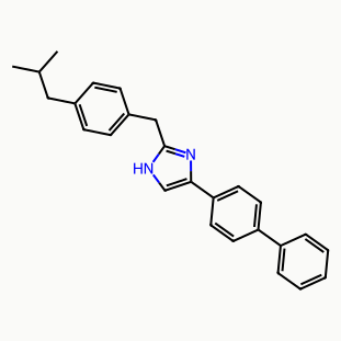 CC(C)Cc1ccc(Cc2nc(-c3ccc(-c4ccccc4)cc3)c[nH]2)cc1